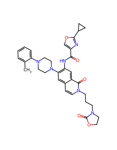 Cc1ccccc1N1CCN(c2cc3ccn(CCCN4CCOC4=O)c(=O)c3cc2NC(=O)c2coc(C3CC3)n2)CC1